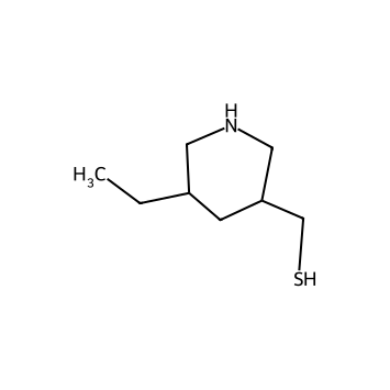 CCC1CNCC(CS)C1